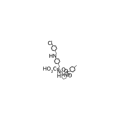 Cc1ccc(S(=O)(=O)N2CCC[C@H]2C(=O)N[C@@H](Cc2ccc(NCc3ccc(Cl)cc3)cc2)C(=O)O)cc1